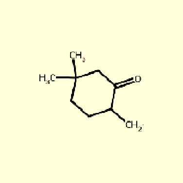 [CH2]C1CCC(C)(C)CC1=O